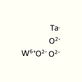 [O-2].[O-2].[O-2].[Ta].[W+6]